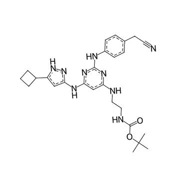 CC(C)(C)OC(=O)NCCNc1cc(Nc2cc(C3CCC3)[nH]n2)nc(Nc2ccc(CC#N)cc2)n1